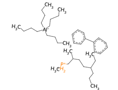 CCCC(CC)CCC(C)C[PH2+]C.CCC[CH2][Al-]([CH2]CCC)([CH2]CCC)[CH2]CCC.c1ccc(-c2ccccc2)cc1